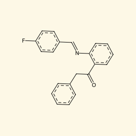 O=C(Cc1ccccc1)c1ccccc1/N=C/c1ccc(F)cc1